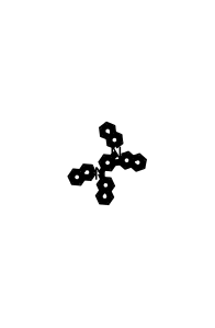 c1ccc2cc(N(c3ccc4ccccc4c3)c3ccc4c(c3)c3cc5ccccc5cc3n4-c3ccc4ccccc4c3)ccc2c1